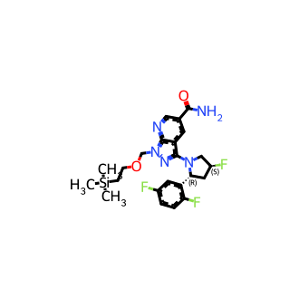 C[Si](C)(C)CCOCn1nc(N2C[C@@H](F)C[C@@H]2c2cc(F)ccc2F)c2cc(C(N)=O)cnc21